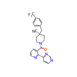 N#CC1(Cc2ccc(C(F)(F)F)cc2)CCN(C(=O)c2cccnc2-c2ccncn2)CC1